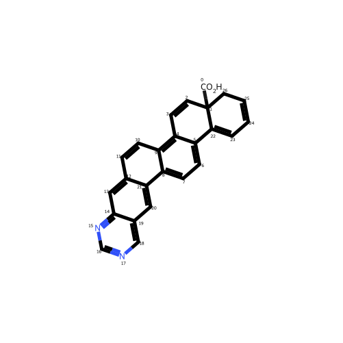 O=C(O)C12C=Cc3c(ccc4c3ccc3cc5ncncc5cc34)C1=CC=CC2